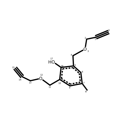 C#CCOCc1cc(C)cc(COCC#C)c1O